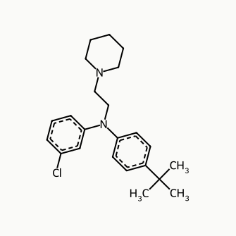 CC(C)(C)c1ccc(N(CCN2CCCCC2)c2cccc(Cl)c2)cc1